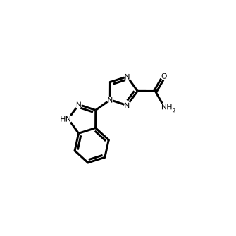 NC(=O)c1ncn(-c2n[nH]c3ccccc23)n1